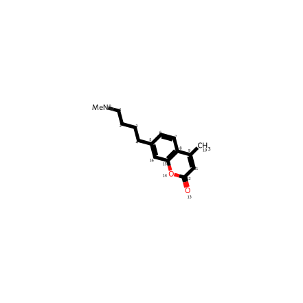 CNCCCCc1ccc2c(C)cc(=O)oc2c1